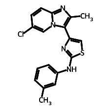 Cc1cccc(Nc2nc(-c3c(C)nc4ccc(Cl)cn34)cs2)c1